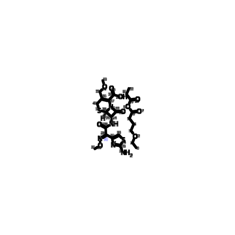 CCOCCCC(=O)OC(=O)CC.COCC1=C(C(=O)O)N2C(=O)[C@@H](NC(=O)/C(=N/OC)c3csc(N)n3)[C@H]2SC1